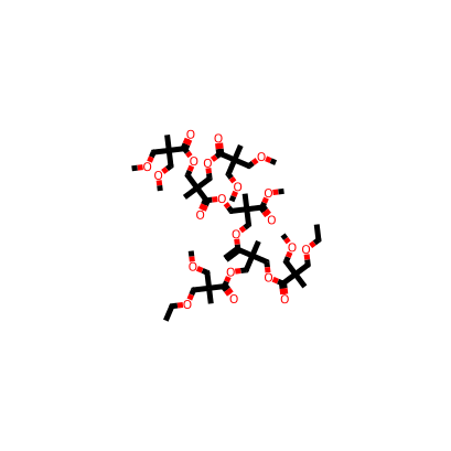 C=C(OCC(C)(COC(=O)C(C)(COC(=O)C(C)(COC)COC)COC(=O)C(C)(COC)COC)C(=O)OC)C(C)(COC(=O)C(C)(COC)COCC)COC(=O)C(C)(COC)COCC